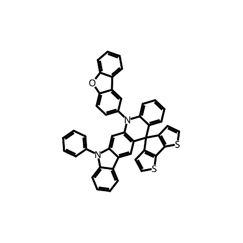 c1ccc(-n2c3ccccc3c3cc4c(cc32)N(c2ccc3oc5ccccc5c3c2)c2ccccc2C42c3ccsc3-c3sccc32)cc1